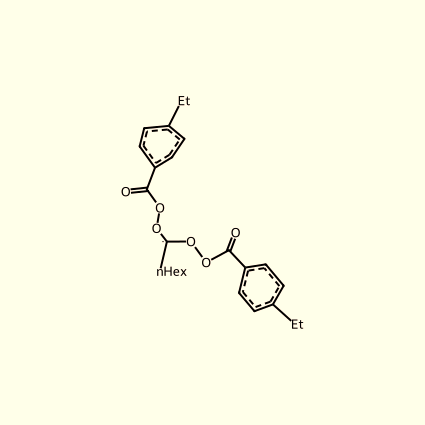 [CH2]CCCCC[C](OOC(=O)c1ccc(CC)cc1)OOC(=O)c1ccc(CC)cc1